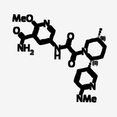 CNc1ccc([C@H]2CC[C@@H](C)CN2C(=O)C(=O)Nc2cnc(OC)c(C(N)=O)c2)cn1